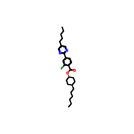 CCCCCC[C@H]1CC[C@H](OC(=O)c2ccc(-c3ncc(CCCCC)cn3)cc2F)CC1